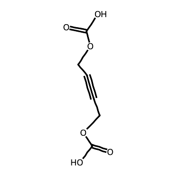 O=C(O)OCC#CCOC(=O)O